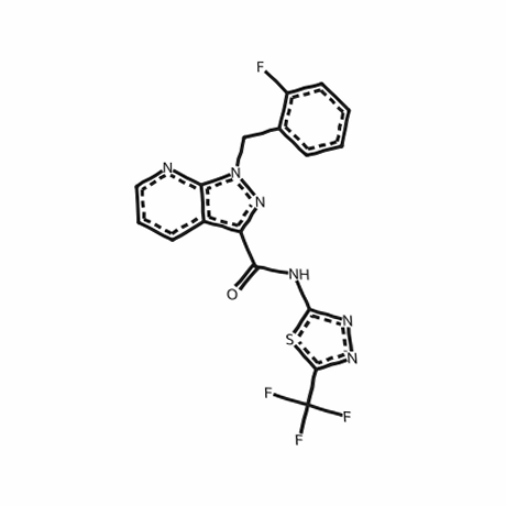 O=C(Nc1nnc(C(F)(F)F)s1)c1nn(Cc2ccccc2F)c2ncccc12